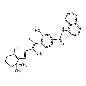 CC1=C(/C=C/C(C)=C(\F)c2ccc(C(=O)Nc3cccc4ccccc34)cc2O)C(C)(C)CCC1